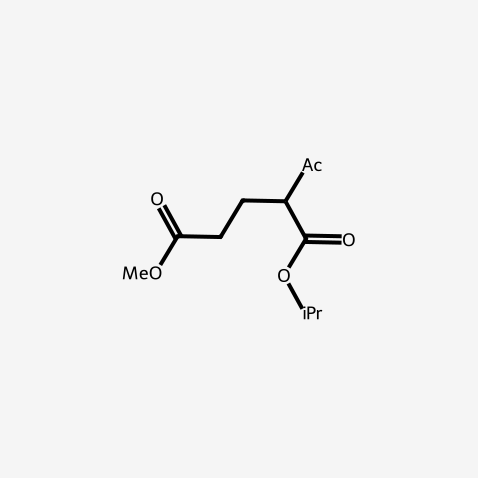 COC(=O)CCC(C(C)=O)C(=O)OC(C)C